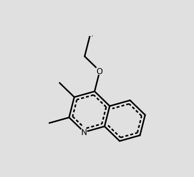 [CH2]COc1c(C)c(C)nc2ccccc12